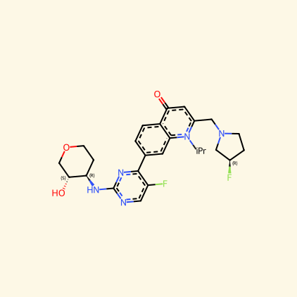 CC(C)n1c(CN2CC[C@@H](F)C2)cc(=O)c2ccc(-c3nc(N[C@@H]4CCOC[C@H]4O)ncc3F)cc21